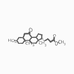 COC(=O)CCC[C@H]1CCC2C3C(=O)CC4C[C@H](O)CC[C@]4(C)C3CC[C@@]21C